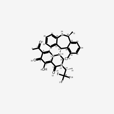 CC(=O)c1cn2c(c(O)c1=O)C(=O)N([C@H](C)C(F)(F)F)CN2[C@@H]1c2ccccc2S[C@@H](C)c2cccc(Cl)c21